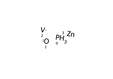 P.[O].[V].[Zn]